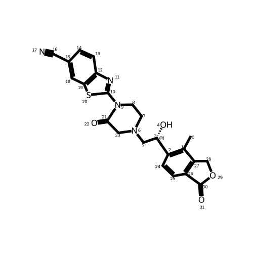 Cc1c([C@@H](O)CN2CCN(c3nc4ccc(C#N)cc4s3)C(=O)C2)ccc2c1COC2=O